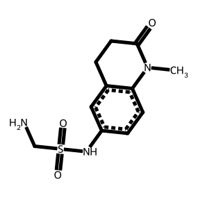 CN1C(=O)CCc2cc(NS(=O)(=O)CN)ccc21